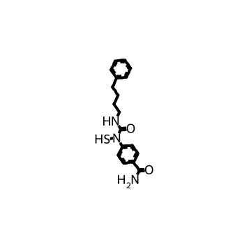 NC(=O)c1ccc(N(S)C(=O)NCCCCc2ccccc2)cc1